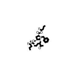 CCCC(F)OC(=O)[C@H]1C[C@@H](CO[Si](C)(C)C(F)CCC)[C@@H](CC(CCC)C(C)=O)N1Cc1ccccc1